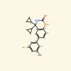 O=C1NC(C2CC2)(C2CC2)c2cc(-c3cc(F)cc(Br)c3)ccc2O1